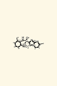 Cc1ccn2nc(S(=O)(=O)Nc3c(C)cccc3[N+](=O)[O-])nc2n1